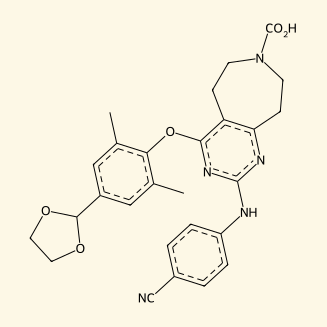 Cc1cc(C2OCCO2)cc(C)c1Oc1nc(Nc2ccc(C#N)cc2)nc2c1CCN(C(=O)O)CC2